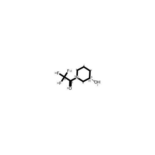 O=C(N1CCC[C@H](O)C1)C(F)(F)F